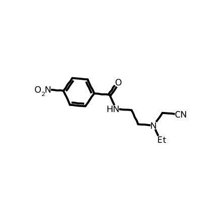 CCN(CC#N)CCNC(=O)c1ccc([N+](=O)[O-])cc1